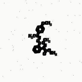 CO/N=C(/C(=O)OC)c1ccccc1CO/N=C(\C)c1ccc(OC)cc1